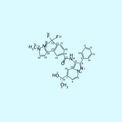 C[C@H](O)c1ccn2nc(-c3ccccc3)c(NC(=O)c3ccc(C(F)(F)F)c(-c4ccn(C)n4)c3)c2c1